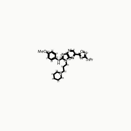 CCCc1noc(-c2cnc3nc(Nc4ccc(OC)cc4)n(CCCN4CCCCC4)c3n2)n1